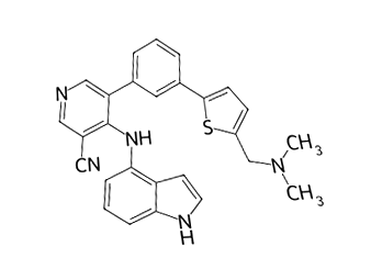 CN(C)Cc1ccc(-c2cccc(-c3cncc(C#N)c3Nc3cccc4[nH]ccc34)c2)s1